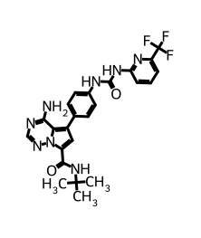 CC(C)(C)NC(=O)c1cc(-c2ccc(NC(=O)Nc3cccc(C(F)(F)F)n3)cc2)c2c(N)ncnn12